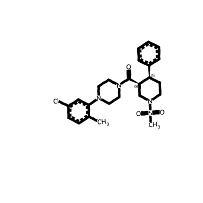 Cc1ccc(Cl)cc1N1CCN(C(=O)[C@@H]2CN(S(C)(=O)=O)CC[C@@H]2c2ccccc2)CC1